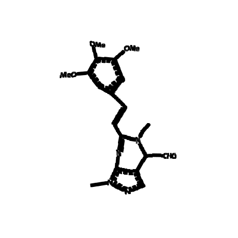 COc1cc(/C=C/C2=Nc3c(cnn3C)C(C=O)N2C)cc(OC)c1OC